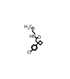 COCCNC(=O)CC1(c2ccc(Cl)cc2)CCC1